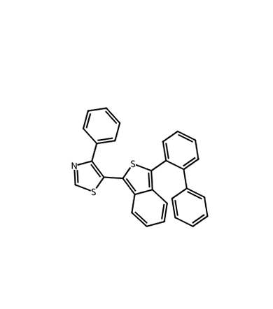 c1ccc(-c2ccccc2-c2sc(-c3scnc3-c3ccccc3)c3ccccc23)cc1